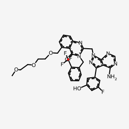 COCCOCCOCc1cccc2nc(Cn3nc(-c4cc(O)cc(F)c4)c4c(N)ncnc43)n(Cc3ccccc3C(F)(F)F)c(=O)c12